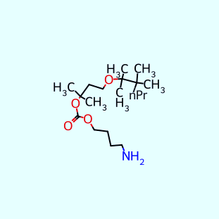 CCCC(C)(C)C(C)(C)OCCC(C)(C)OC(=O)OCCCCN